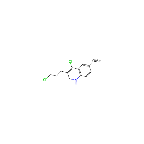 COc1ccc2c(c1)C(Cl)=C(CCCCl)CN2